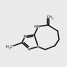 C=C1CCCCn2nc(C)nc2N1